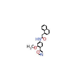 COc1cc(NC(=O)Cc2cccc3ccccc23)ccc1-c1cnco1